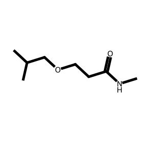 CNC(=O)CCOCC(C)C